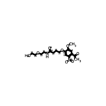 COc1cc(C(C)=O)c([N+](=O)[O-])cc1OCCCC(=O)NCCOCCO